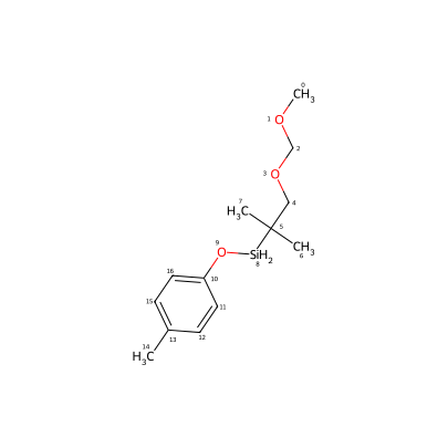 COCOCC(C)(C)[SiH2]Oc1ccc(C)cc1